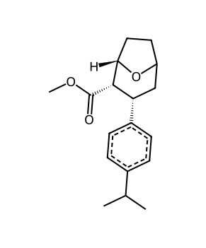 COC(=O)[C@@H]1[C@@H]2CCC(C[C@@H]1c1ccc(C(C)C)cc1)O2